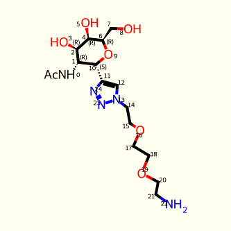 CC(=O)N[C@@H]1[C@@H](O)[C@@H](O)[C@@H](CO)O[C@@H]1c1cn(CCOCCOCCN)nn1